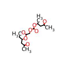 CCC(CC(C)=O)OC(=O)COC(=O)OC(C)CC(C)=O